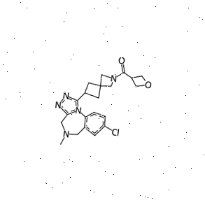 CN1Cc2cc(Cl)ccc2-n2c(nnc2C2CC3(C2)CN(C(=O)C2COC2)C3)C1